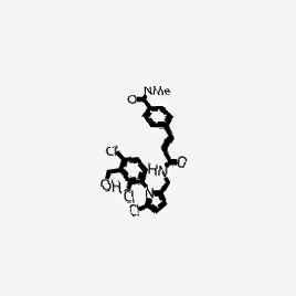 CNC(=O)c1ccc(C=CC(=O)NCc2ccc(Cl)n2-c2ccc(Cl)c(CO)c2Cl)cc1